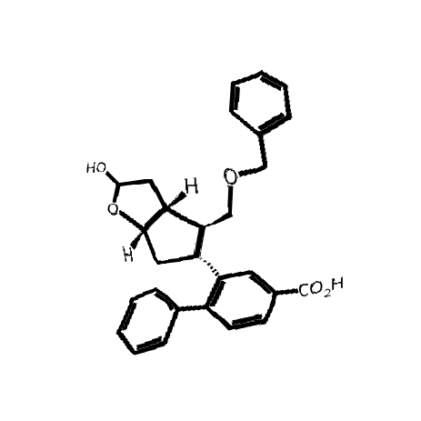 O=C(O)c1ccc(-c2ccccc2)c([C@@H]2C[C@@H]3OC(O)C[C@@H]3[C@H]2COCc2ccccc2)c1